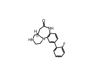 O=C1C[C@H]2CNCCN2c2cc(-c3ccccc3F)ccc2N1